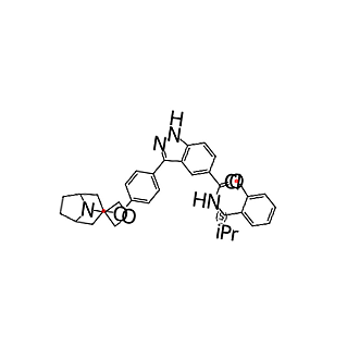 CC(C)[C@H](NC(=O)c1ccc2[nH]nc(-c3ccc(OC4CC5CCC(C4)N5C4COC4)cc3)c2c1)c1ccccc1Cl